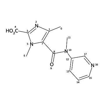 Cc1nc(C(=O)O)n(C)c1C(=O)N(C)c1cccnc1